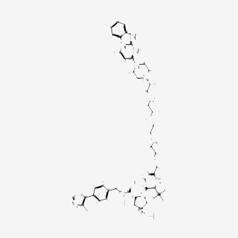 Cc1ncsc1-c1ccc(CNC(=O)[C@@H]2C[C@@H](O)CN2C(=O)C(NC(=O)COCCOCCOCCOCCN2CCN(c3ccn4c(n3)nc3ccccc34)CC2)C(C)(C)C)cc1